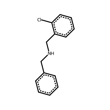 Clc1ccccc1CNCc1ccccc1